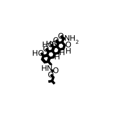 CC(C)COC(=O)NCc1ccc(O)c2c1C[C@H]1C[C@H]3CC(O)C(C(N)=O)C(=O)[C@@]3(O)C(O)=C1C2=O